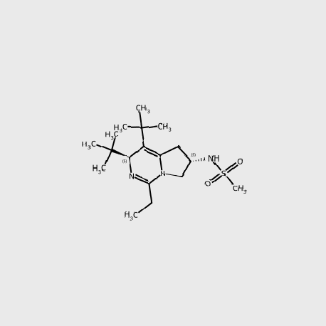 CCC1=N[C@@H](C(C)(C)C)C(C(C)(C)C)=C2C[C@H](NS(C)(=O)=O)CN12